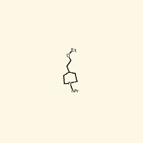 [CH2]CCN1CCC(CCOCC)CC1